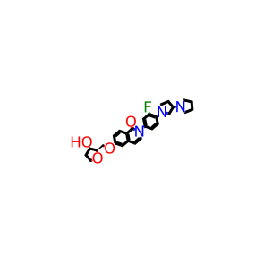 O=c1c2ccc(OC[C@H]3OCC[C@@H]3O)cc2ccn1-c1ccc(N2CC[C@@H](N3CCCC3)C2)c(F)c1